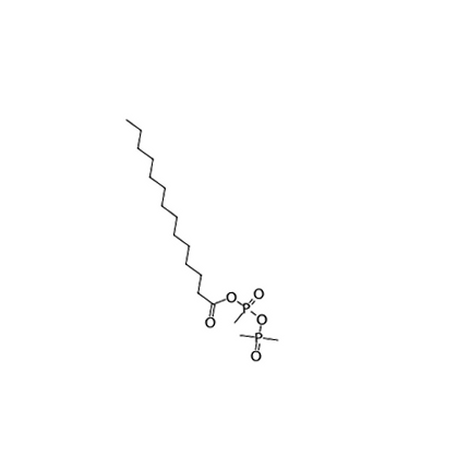 CCCCCCCCCCCCCC(=O)OP(C)(=O)OP(C)(C)=O